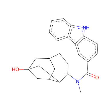 CN(C(=O)c1ccc2[nH]c3ccccc3c2c1)C1CCC2CC3CC(O)(C2)CC31